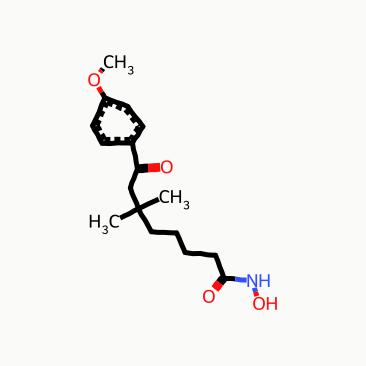 COc1ccc(C(=O)CC(C)(C)CCCCC(=O)NO)cc1